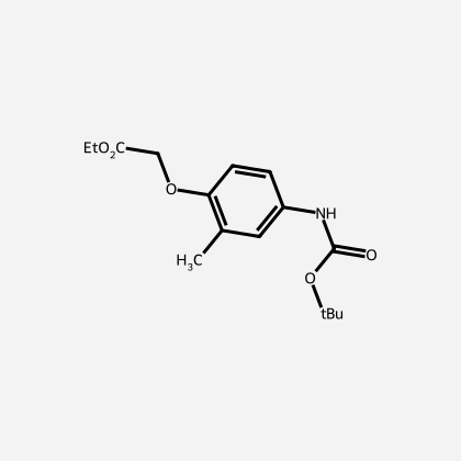 CCOC(=O)COc1ccc(NC(=O)OC(C)(C)C)cc1C